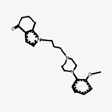 COc1ccccc1N1CCN(CCCn2ccc3c2CCCC3=O)CC1